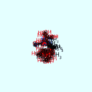 CC(=O)OC1C(C)OC(OC2C(C)OC(OC(=O)[C@]34CCC(C)(C)CC3C3=CCC5[C@@]6(C)CC[C@H](OC7OC(C(=O)NC(C)(CO)CO)C(O)C(OC8OCC(O)C(O)C8O)C7OC7OC(CO)C(O)C(O)C7O)[C@@](C)(/C=N/NC(=O)CCCCCN7C(=O)C=CC7=O)C6CC[C@@]5(C)[C@]3(C)C[C@H]4O)C(OC3OC(C)C(OC4OCC(O)C(OC5OC(CO)C(O)C(C)C5O)C4O)C(O)C3O)C2O)C(O)C1OC1CCC(O)C(O)C1O